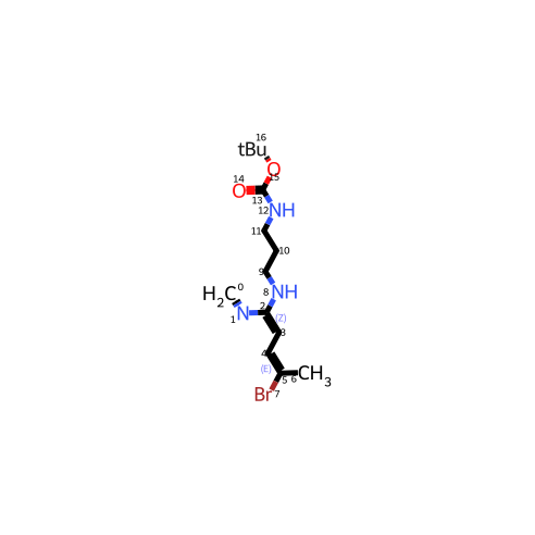 C=N/C(=C\C=C(/C)Br)NCCCNC(=O)OC(C)(C)C